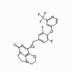 O=c1nc(OCc2cc(F)c(Oc3ccnc(C(F)(F)F)c3)c(F)c2)c2c3n1CCN3CCO2